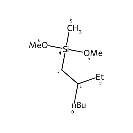 CCCCC(CC)C[Si](C)(OC)OC